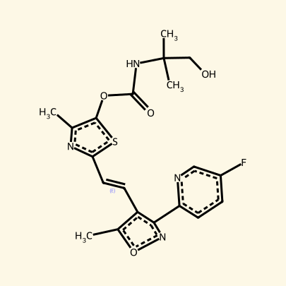 Cc1nc(/C=C/c2c(-c3ccc(F)cn3)noc2C)sc1OC(=O)NC(C)(C)CO